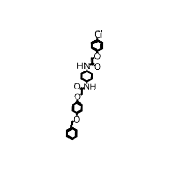 O=C(COc1ccc(Cl)cc1)N[C@H]1CC[C@H](NC(=O)COc2ccc(OCc3ccccc3)cc2)CC1